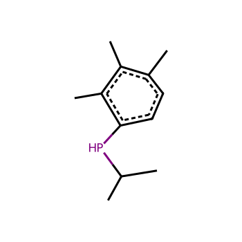 Cc1ccc(PC(C)C)c(C)c1C